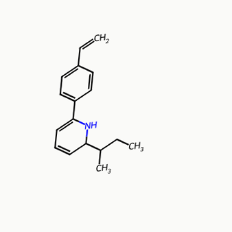 C=Cc1ccc(C2=CC=CC(C(C)CC)N2)cc1